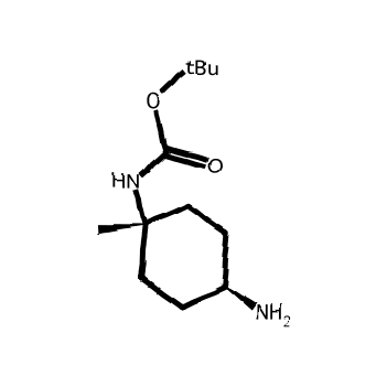 CC(C)(C)OC(=O)N[C@]1(C)CC[C@@H](N)CC1